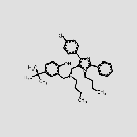 CCCCN(Cc1cc(C(C)(C)C)ccc1O)Cc1c(-c2ccc(Cl)cc2)nc(-c2ccccc2)n1CCCC